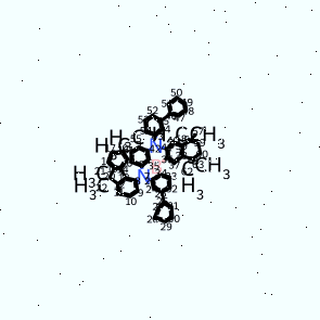 Cc1cc2c3c(c1)N(c1cccc4c1-c1ccccc1C4(C)C)c1cc(-c4ccccc4)ccc1B3c1cc3c(cc1N2c1cc(-c2ccccc2)ccc1C)C(C)(C)CCC3(C)C